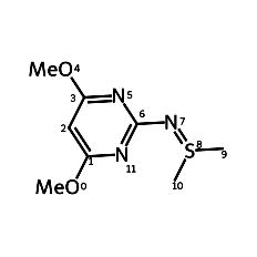 COc1cc(OC)nc(N=S(C)C)n1